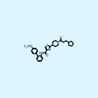 O=C(Nc1ccccc1-c1ccc(OC(F)(F)F)cc1)c1csc(C2CCN(C(=O)CCC3CCCC3)CC2)n1